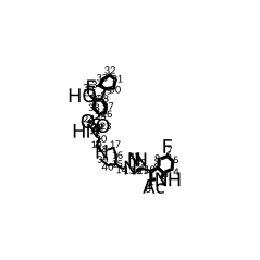 CC(=O)c1[nH]c2ccc(F)cc2c1-c1cn(CC2CCN(CCNS(=O)(=O)c3ccc(-c4ccccc4F)c(O)c3)CC2)nn1